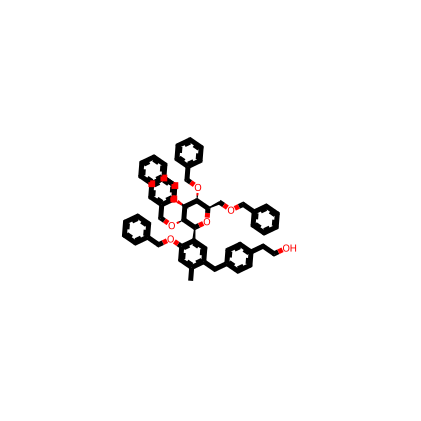 Cc1cc(OCc2ccccc2)c([C@@H]2O[C@H](COCc3ccccc3)[C@@H](OCc3ccccc3)[C@H](OCc3ccccc3)[C@H]2OCc2ccccc2)cc1Cc1ccc(CCO)cc1